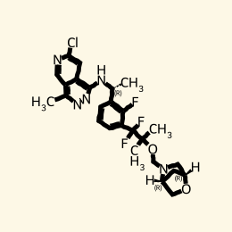 Cc1nnc(N[C@H](C)c2cccc(C(F)(F)C(C)(C)OCN3C[C@H]4C[C@@H]3CO4)c2F)c2cc(Cl)ncc12